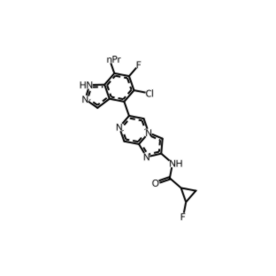 CCCc1c(F)c(Cl)c(-c2cn3cc(NC(=O)C4CC4F)nc3cn2)c2cn[nH]c12